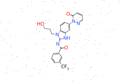 O=C(/N=c1\[nH]c2cc(-n3ncccc3=O)ccc2n1CCCO)c1cccc(C(F)(F)F)c1